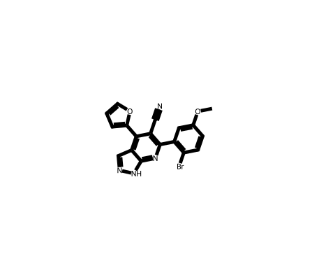 COc1ccc(Br)c(-c2nc3[nH]ncc3c(-c3ccco3)c2C#N)c1